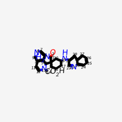 NC(=O)C1(C2c3ccncc3C=CN2C(=O)O)CCCC(Nc2cnc3ccccc3c2)C1